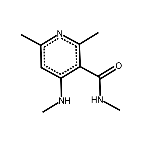 CNC(=O)c1c(NC)cc(C)nc1C